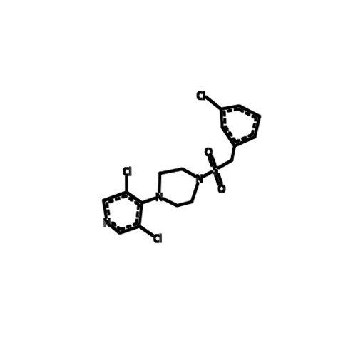 O=S(=O)(Cc1cccc(Cl)c1)N1CCN(c2c(Cl)cncc2Cl)CC1